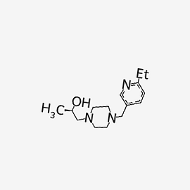 CCc1ccc(CN2CCN(C[C@@H](C)O)CC2)cn1